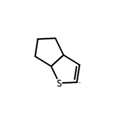 [C]1=CC2CCCC2S1